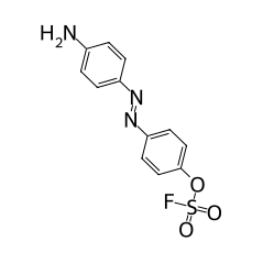 Nc1ccc(/N=N/c2ccc(OS(=O)(=O)F)cc2)cc1